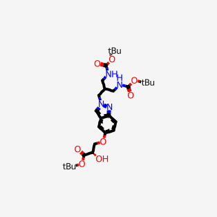 CC(C)(C)OC(=O)NCC(CNC(=O)OC(C)(C)C)Cn1cc2cc(OC[C@@H](O)C(=O)OC(C)(C)C)ccc2n1